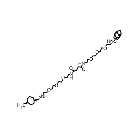 C=C1CCC/C(=C\SNCCOCCOCCOCCNC(=O)CCC(=O)NCCOCCOCCOCCNSC2C3=C4CC(=C2CC3)C4)CC1